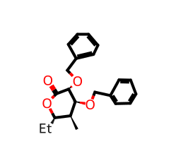 CC[C@H]1OC(=O)[C@H](OCc2ccccc2)[C@@H](OCc2ccccc2)[C@H]1C